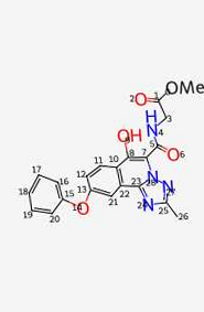 COC(=O)CNC(=O)c1c(O)c2ccc(Oc3ccccc3)cc2c2nc(C)nn12